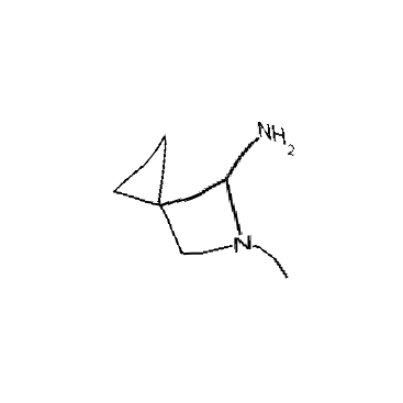 CN1CC2(CC2)C1N